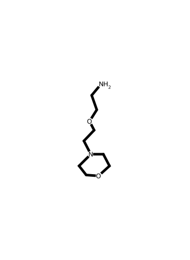 NCCOCCN1CCOCC1